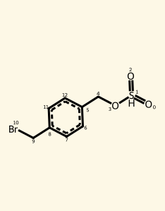 O=[SH](=O)OCc1ccc(CBr)cc1